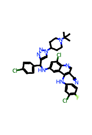 CC(C)(C)N1CCC(n2cc(C(Nc3cc(Cl)c4ncc(C#N)c(Nc5ccc(F)c(Cl)c5)c4c3)c3ccc(Cl)cc3)nn2)CC1